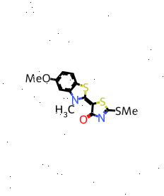 COc1ccc2c(c1)N(C)C(=C1SC(SC)=NC1=O)S2